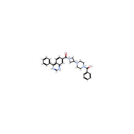 O=C(c1ccccc1)N1CCN(C2CN(C(=O)c3ccc4c(-c5ccccc5)ncnc4c3)C2)CC1